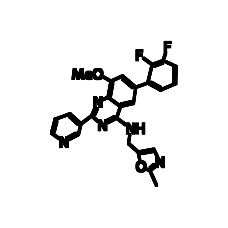 COc1cc(-c2cccc(F)c2F)cc2c(NCc3cnc(C)o3)nc(-c3cccnc3)nc12